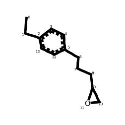 CCc1ccc(CCCC2CO2)cc1